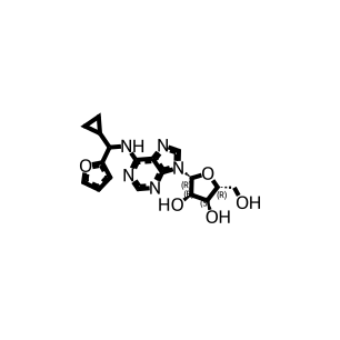 OC[C@H]1O[C@@H](n2cnc3c(NC(c4ccco4)C4CC4)ncnc32)[C@H](O)[C@@H]1O